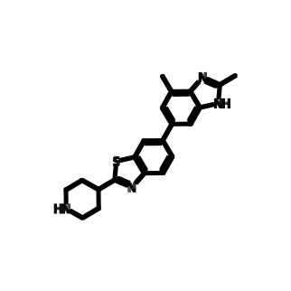 Cc1nc2c(C)cc(-c3ccc4nc(C5CCNCC5)sc4c3)cc2[nH]1